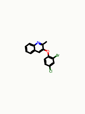 Cc1nc2ccccc2cc1Oc1ccc(Cl)cc1Br